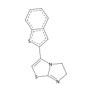 C1=C(c2cc3ccccc3s2)N2CCN=C2S1